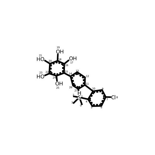 C[SH]1(C)(C)c2ccc(Cl)cc2-c2ccc(-c3c(O)c(O)c(O)c(O)c3O)cc21